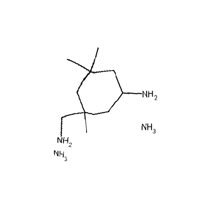 CC1(C)CC(N)CC(C)(CN)C1.N.N